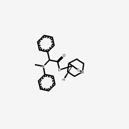 CN(c1ccccc1)C(C(=O)O[C@H]1CN2CCC1CC2)c1ccccc1